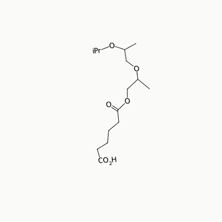 CC(C)OC(C)COC(C)COC(=O)CCCCC(=O)O